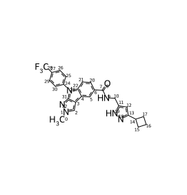 Cn1cc2c3cc(C(=O)NCc4cc(C5CCC5)n[nH]4)ccc3n(-c3ccc(C(F)(F)F)cc3)c2n1